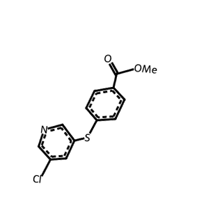 COC(=O)c1ccc(Sc2cncc(Cl)c2)cc1